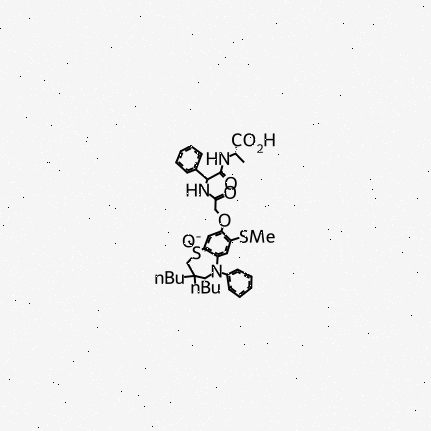 CCCCC1(CCCC)CN(c2ccccc2)c2cc(SC)c(OCC(=O)NC(C(=O)N[C@@H](C)C(=O)O)c3ccccc3)cc2[S+]([O-])C1